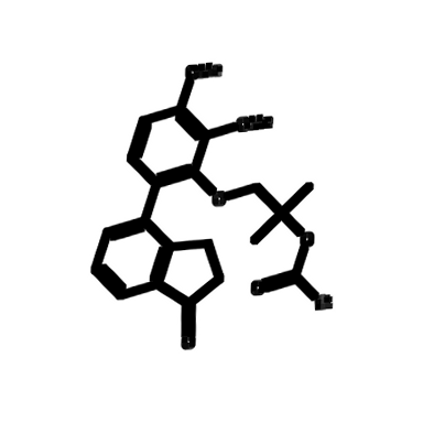 CCC(=O)OC(C)(C)COc1c(-c2cccc3c2CCC3=O)ccc(OC)c1OC